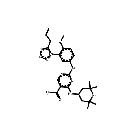 CCCc1nnnn1-c1cc(Nc2ncc(C(N)=O)c(NC3CC(C)(C)NC(C)(C)C3)n2)ccc1OC